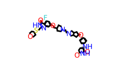 O=C1CC[C@H](Nc2ccc(OC3CC4CN(CCN5CCC(COc6cc(F)c7c(=O)[nH]c(CSC8CCOCC8)nc7c6)CC5)CC4C3)cc2)C(=O)N1